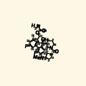 CN[C@H]1CC[C@@H](C(=O)N2CCC[C@@H]([C@@](O)(CCCOC(N)=O)c3cccc(F)c3-c3cc(C)cc(F)c3)C2)C1